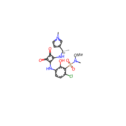 CON(C)S(=O)(=O)c1c(Cl)ccc(Nc2c(N[C@@H](C)c3ccn(C)c3)c(=O)c2=O)c1O